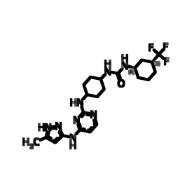 Cc1cc(Nc2ccnc(NC3CCC(NC(=O)N[C@@H]4CCC[C@H](C(F)(F)F)C4)CC3)n2)n[nH]1